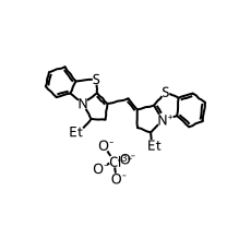 CCC1CC(C=C2CC(CC)[n+]3c2sc2ccccc23)=C2Sc3ccccc3N21.[O-][Cl+3]([O-])([O-])[O-]